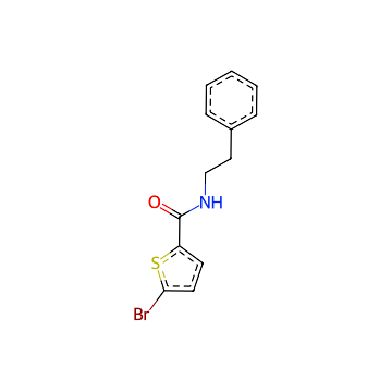 O=C(NCCc1ccccc1)c1ccc(Br)s1